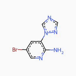 Nc1ncc(Br)cc1-n1cncn1